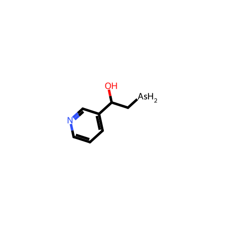 OC(C[AsH2])c1cccnc1